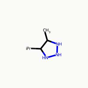 CC(C)C1NNNC1C